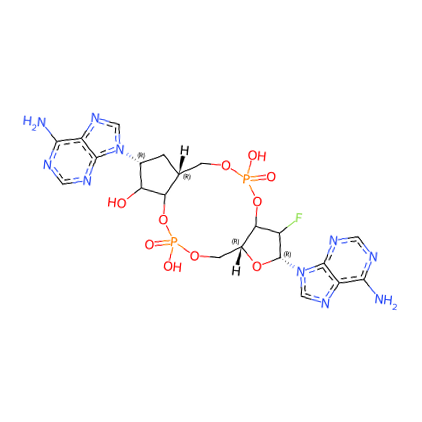 Nc1ncnc2c1ncn2[C@@H]1C[C@@H]2COP(=O)(O)OC3C(F)[C@H](n4cnc5c(N)ncnc54)O[C@@H]3COP(=O)(O)OC2C1O